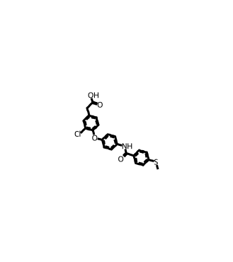 CSc1ccc(C(=O)Nc2ccc(Oc3ccc(CC(=O)O)cc3Cl)cc2)cc1